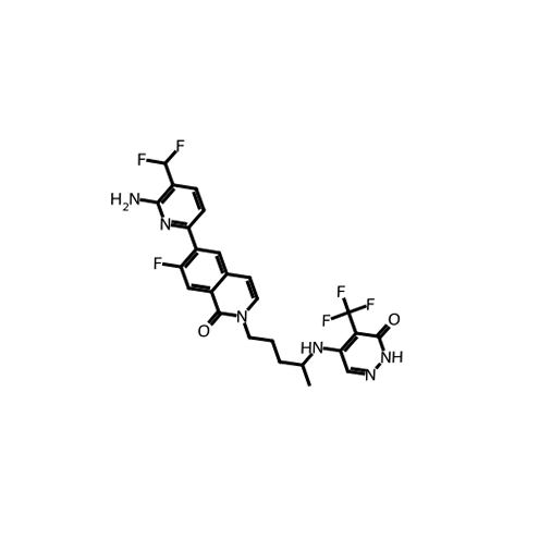 CC(CCCn1ccc2cc(-c3ccc(C(F)F)c(N)n3)c(F)cc2c1=O)Nc1cn[nH]c(=O)c1C(F)(F)F